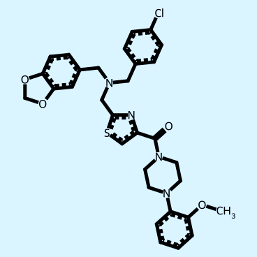 COc1ccccc1N1CCN(C(=O)c2csc(CN(Cc3ccc(Cl)cc3)Cc3ccc4c(c3)OCO4)n2)CC1